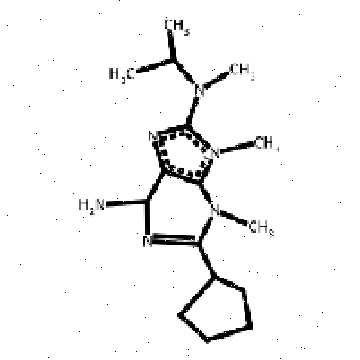 CC(C)N(C)c1nc2c(n1C)N(C)C(C1CCCC1)=NC2N